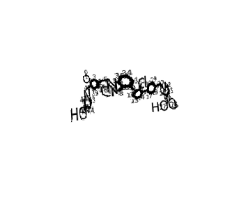 COc1cc(Cn2ncc3c(-c4cccc(-c5ccc(CN6CC[C@@H](C(=O)O)C6)cc5)c4Cl)cccc32)c(Cl)cc1CN1CC[C@@H](O)C1